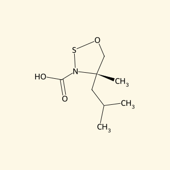 CC(C)C[C@@]1(C)COSN1C(=O)O